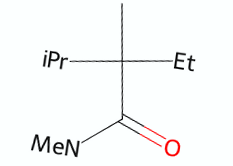 CCC(C)(C(=O)NC)C(C)C